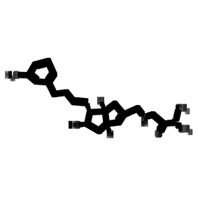 Cc1cccc(CC/C=C/[C@@H]2[C@H]3CC(CNCC(=O)N(C)C)=C[C@H]3C[C@H]2O)c1